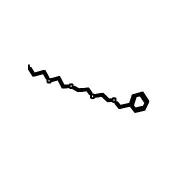 ICCOCCOCCOCCOCc1ccccc1